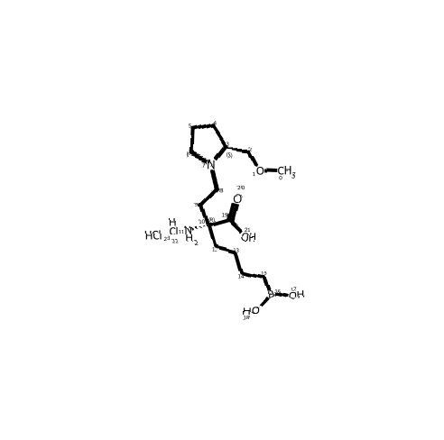 COC[C@@H]1CCCN1CC[C@](N)(CCCCB(O)O)C(=O)O.Cl.Cl